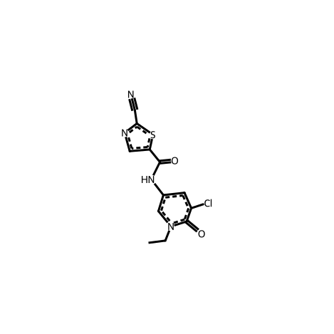 CCn1cc(NC(=O)c2cnc(C#N)s2)cc(Cl)c1=O